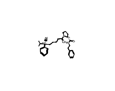 CC(C)[C@@](C#N)(CCCCC(=O)N1CCC[C@@H]1C(=O)NCCc1ccccc1)c1ccccc1